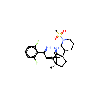 CC1(C)[C@H]2CC[C@]1([C@H]1CCCN(S(C)(=O)=O)C1)C(=N)/C2=C\C(=N)c1c(F)cccc1F